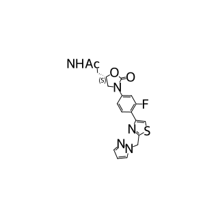 CC(=O)NC[C@H]1CN(c2ccc(-c3csc(Cn4cccn4)n3)c(F)c2)C(=O)O1